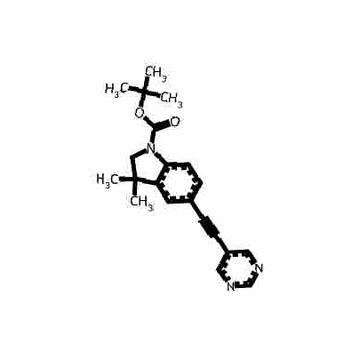 CC(C)(C)OC(=O)N1CC(C)(C)c2cc(C#Cc3cncnc3)ccc21